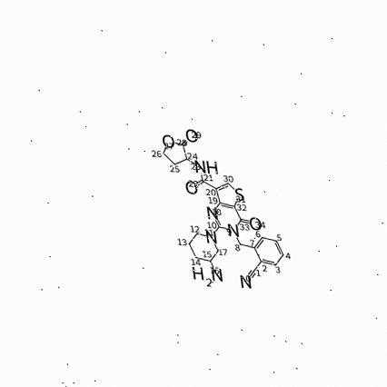 N#Cc1ccccc1Cn1c(N2CCCC(N)C2)nc2c(C(=O)NC3CCOC3=O)csc2c1=O